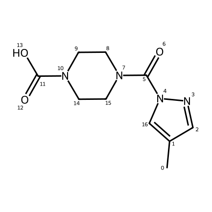 Cc1cnn(C(=O)N2CCN(C(=O)O)CC2)c1